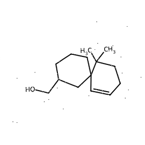 CC1(C)CCC=CC12CCCC(CO)C2